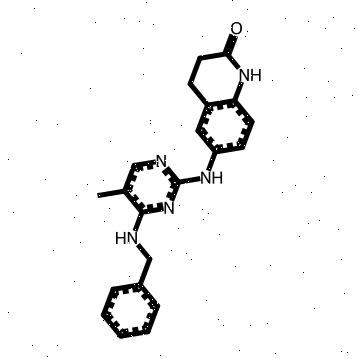 Cc1cnc(Nc2ccc3c(c2)CCC(=O)N3)nc1NCc1ccccc1